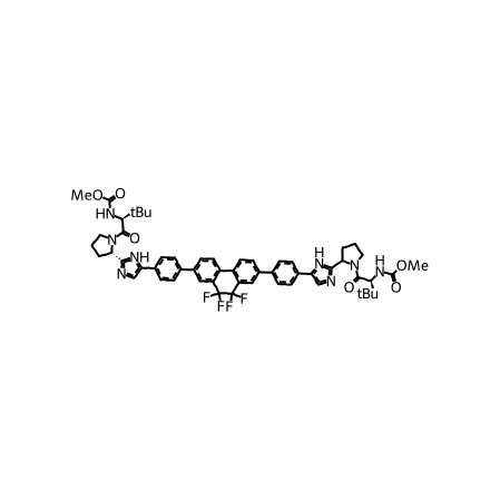 COC(=O)N[C@H](C(=O)N1CCCC1c1ncc(-c2ccc(-c3ccc4c(c3)C(F)(F)C(F)(F)c3cc(-c5ccc(-c6cnc([C@@H]7CCCN7C(=O)[C@@H](NC(=O)OC)C(C)(C)C)[nH]6)cc5)ccc3-4)cc2)[nH]1)C(C)(C)C